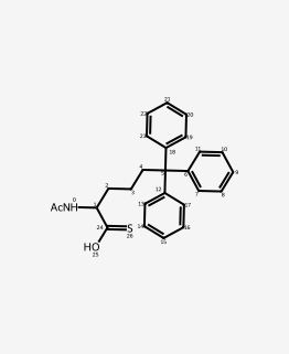 CC(=O)NC(CCCC(c1ccccc1)(c1ccccc1)c1ccccc1)C(O)=S